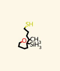 CC(CCCS)C1([SiH3])CCCCO1